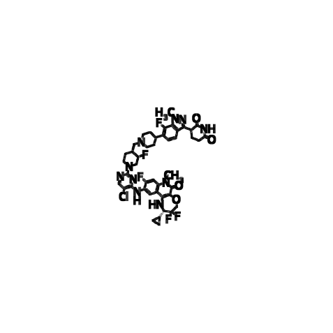 Cn1nc(C2CCC(=O)NC2=O)c2ccc(C3CCN(C[C@@H]4CCN(c5ncc(Cl)c(Nc6cc7c8c(c(=O)n(C)c7cc6F)OCC(F)(F)[C@H](C6CC6)N8)n5)C[C@@H]4F)CC3)c(F)c21